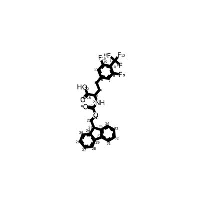 O=C(NC(CCc1cc(F)c(C(F)(F)F)c(F)c1)C(=O)O)OCC1c2ccccc2-c2ccccc21